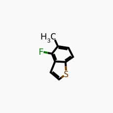 Cc1ccc2sccc2c1F